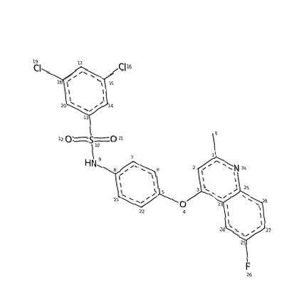 Cc1cc(Oc2ccc(NS(=O)(=O)c3cc(Cl)cc(Cl)c3)cc2)c2cc(F)ccc2n1